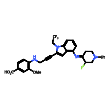 COc1cc(C(=O)O)ccc1NCC#Cc1cc2c(/N=C3\CCN(C(C)C)C[C@H]3F)cccc2n1CC(F)(F)F